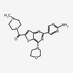 CN1CCN(C(=O)c2cc3nc(-c4cnc(N)nc4)nc(N4CCOCC4)c3s2)CC1